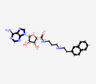 Nc1ncnc2c1ncn2[C@@H]1O[C@H](C(=O)NCCCNCCc2ccc3ccccc3c2)[C@@H](O)[C@H]1O